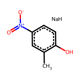 Cc1cc([N+](=O)[O-])ccc1O.[NaH]